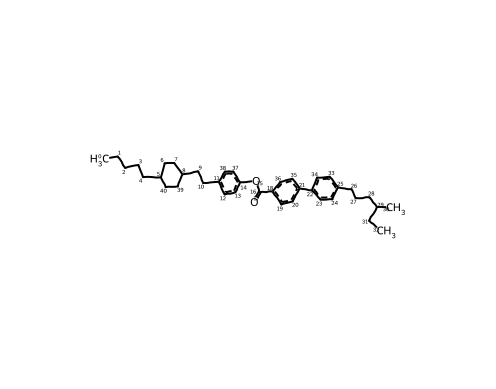 CCCCCC1CCC(CCc2ccc(OC(=O)c3ccc(-c4ccc(CCCC(C)CC)cc4)cc3)cc2)CC1